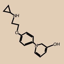 OC1=CC=CN(c2ccc(OCCNC3CC3)cc2)C1